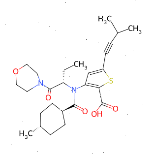 CC[C@@H](C(=O)N1CCOCC1)N(c1cc(C#CC(C)C)sc1C(=O)O)C(=O)[C@H]1CC[C@H](C)CC1